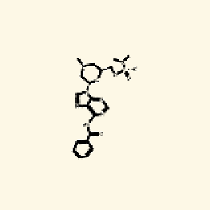 CN1C[C@@H](CO[P@@](=O)(Cl)N(C)C)O[C@@H](n2cnc3c(NC(=O)c4ccccc4)ncnc32)C1